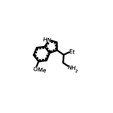 CCC(CN)c1c[nH]c2ccc(OC)cc12